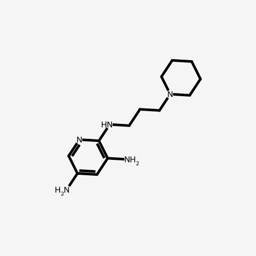 Nc1cnc(NCCCN2CCCCC2)c(N)c1